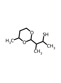 CC1CCOC(C(C)C(C)S)O1